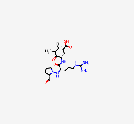 CCC(C)C(=O)[C@H](CCC(=O)O)NC(=O)[C@H](CCCNC(N)N)NN1CCC[C@H]1C=O